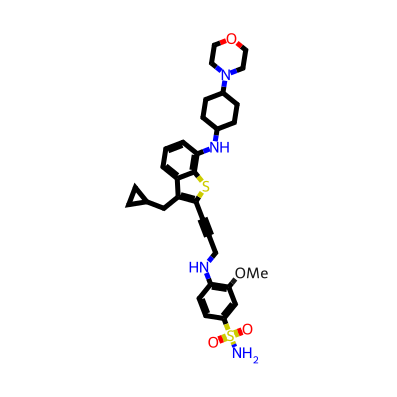 COc1cc(S(N)(=O)=O)ccc1NCC#Cc1sc2c(NC3CCC(N4CCOCC4)CC3)cccc2c1CC1CC1